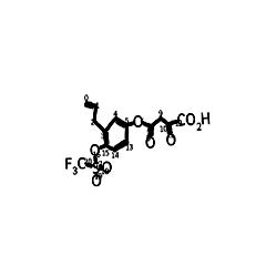 C=CCc1cc(OC(=O)CC(=O)C(=O)O)ccc1OS(=O)(=O)C(F)(F)F